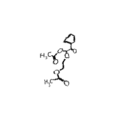 CC(=O)OCCOC(OC(C)=O)C(=O)c1ccccc1